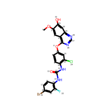 COc1cc2c(Oc3ccc(NC(=O)Nc4ccc(Br)cc4F)c(Cl)c3)ncnc2cc1O